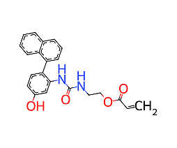 C=CC(=O)OCCNC(=O)Nc1cc(O)ccc1-c1cccc2ccccc12